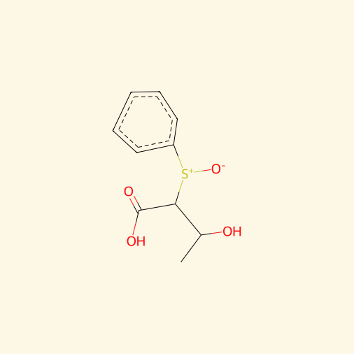 CC(O)C(C(=O)O)[S+]([O-])c1ccccc1